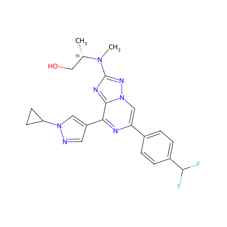 C[C@@H](CO)N(C)c1nc2c(-c3cnn(C4CC4)c3)nc(-c3ccc(C(F)F)cc3)cn2n1